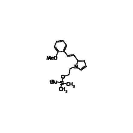 COc1ccccc1C=Cc1cccn1CCO[Si](C)(C)C(C)(C)C